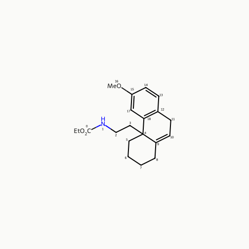 CCOC(=O)NCCC12CCCCC1=CCc1ccc(OC)cc12